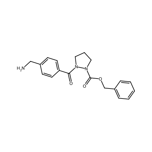 NCc1ccc(C(=O)N2CCCN2C(=O)OCc2ccccc2)cc1